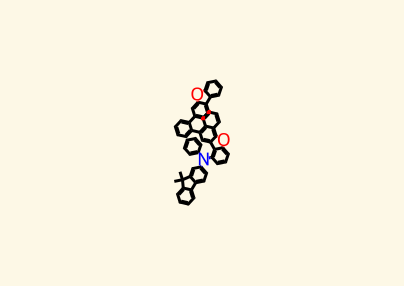 CC1(C)c2ccccc2-c2ccc(N(c3ccccc3)c3cccc4oc5c6ccccc6c(-c6ccccc6-c6ccc7c(c6)oc6ccccc67)cc5c34)cc21